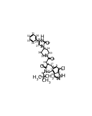 CC(C)(C)CN1Cc2c(cc(Cl)c3[nH]ncc23)CC(CC(=O)N2CCC(n3cc(-c4ccccc4)[nH]c3=O)CC2)C1=O